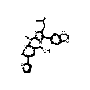 CC(C)Cc1sc(N(C)c2ncc(-c3cccs3)cc2CO)nc1-c1ccc2c(c1)OCO2